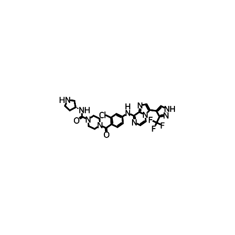 O=C(N[C@@H]1CCNC1)N1CCN(C(=O)c2ccc(Nc3nccn4c(-c5c[nH]nc5C(F)(F)F)cnc34)cc2Cl)CC1